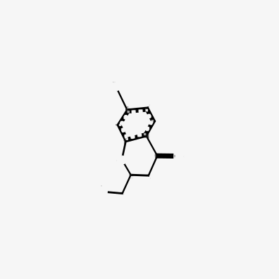 CCC1CC(=O)c2ccc(Cl)cc2O1